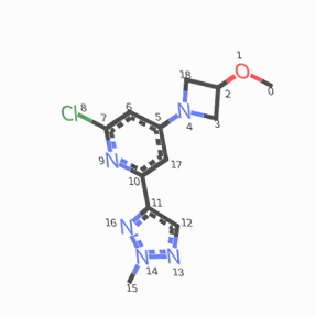 COC1CN(c2cc(Cl)nc(-c3cnn(C)n3)c2)C1